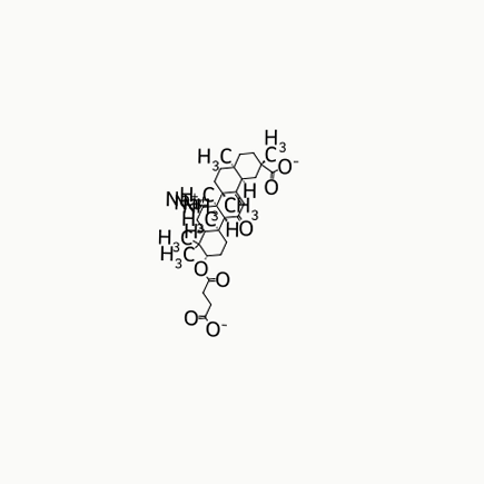 CC1(C)[C@@H](OC(=O)CCC(=O)[O-])CC[C@]2(C)[C@H]3C(=O)C=C4[C@@H]5C[C@@](C)(C(=O)[O-])CC[C@]5(C)CC[C@@]4(C)[C@]3(C)CC[C@@H]12.N.[Na+].[Na+]